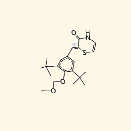 COCOc1c(C(C)(C)C)cc(/C=C2\SC=CNC2=O)cc1C(C)(C)C